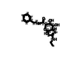 CCNC1=N[C@@H]2[C@@H](O)[C@H](O)[C@@H](C(=O)NCCc3ccccc3)O[C@@H]2S1